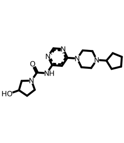 O=C(Nc1cc(N2CCN(C3CCCC3)CC2)ncn1)N1CCC(O)C1